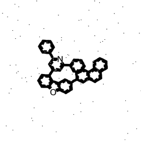 c1ccc(-c2cc(-c3cccc4oc5ccc(-c6ccc7c(ccc8ccccc87)c6)cc5c34)cc(-c3ccccc3)n2)cc1